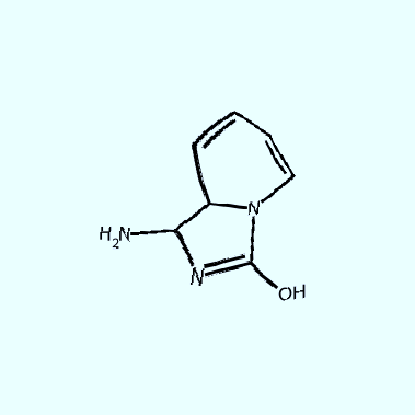 NC1N=C(O)N2C=CC=CC12